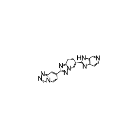 c1cc2nc(-c3ccc4nc(-c5ccn6cnnc6c5)nn4c3)[nH]c2cn1